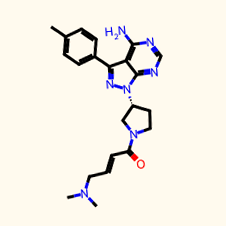 Cc1ccc(-c2nn([C@@H]3CCN(C(=O)C=CCN(C)C)C3)c3ncnc(N)c23)cc1